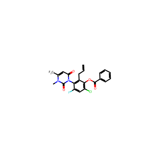 C=CCc1c(OC(=O)c2ccccc2)c(Cl)cc(F)c1-n1c(=O)cc(C(F)(F)F)n(C)c1=O